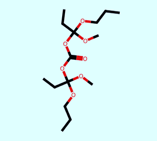 CCCOC(CC)(OC)OC(=O)OC(CC)(OC)OCCC